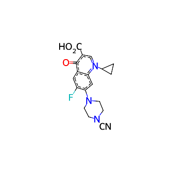 N#CN1CCN(c2cc3c(cc2F)c(=O)c(C(=O)O)cn3C2CC2)CC1